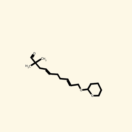 CC(C)(C=O)C/C=C/CC/C=C/COC1CCCCO1